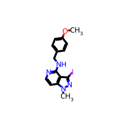 COc1ccc(CNc2nccc3c2c(I)nn3C)cc1